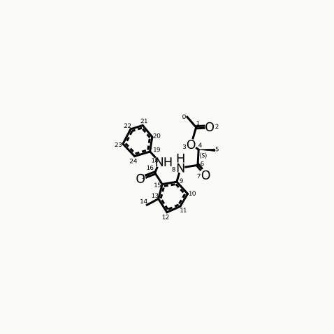 CC(=O)O[C@@H](C)C(=O)Nc1cccc(C)c1C(=O)Nc1ccccc1